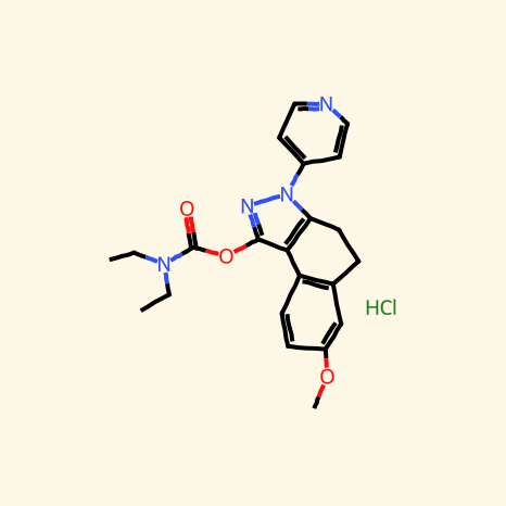 CCN(CC)C(=O)Oc1nn(-c2ccncc2)c2c1-c1ccc(OC)cc1CC2.Cl